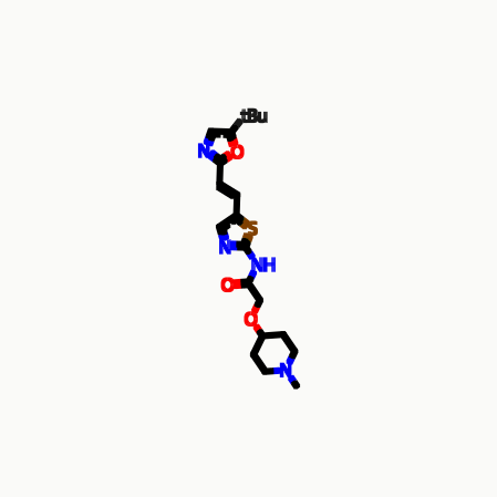 CN1CCC(OCC(=O)Nc2ncc(/C=C/c3ncc(C(C)(C)C)o3)s2)CC1